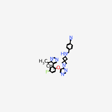 CC(C)c1ncncc1-c1cc(F)ccc1Oc1cncnc1N1CC2(CC(NCc3ccc(C#N)cc3)C2)C1